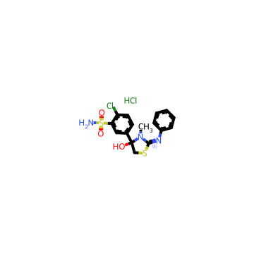 CN1/C(=N\c2ccccc2)SCC1(O)c1ccc(Cl)c(S(N)(=O)=O)c1.Cl